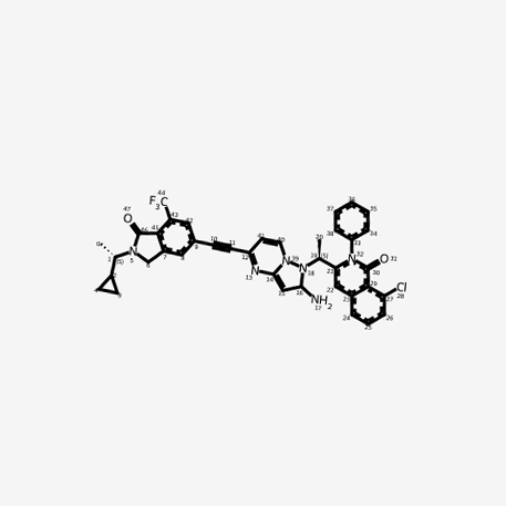 C[C@@H](C1CC1)N1Cc2cc(C#CC3=NC4=CC(N)N([C@@H](C)c5cc6cccc(Cl)c6c(=O)n5-c5ccccc5)N4C=C3)cc(C(F)(F)F)c2C1=O